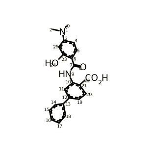 CN(C)c1ccc(C(=O)Nc2cc(-c3ccccc3)ccc2C(=O)O)c(O)c1